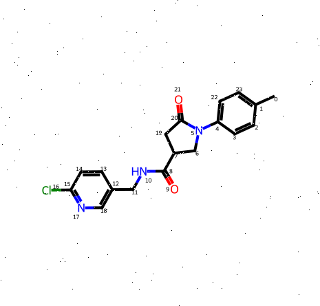 Cc1ccc(N2CC(C(=O)NCc3ccc(Cl)nc3)CC2=O)cc1